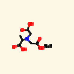 CC(C(=O)O)N(CC(=O)O)CC(=O)O.[NaH]